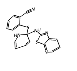 N#Cc1ccccc1SC1(Nc2nc3cccnc3s2)C=CC=CN1